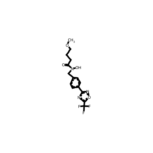 COCCCC(=O)N(O)Cc1ccc(-c2noc(C(F)(F)F)n2)cc1